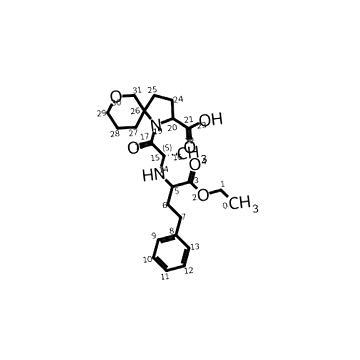 CCOC(=O)C(CCc1ccccc1)N[C@@H](C)C(=O)N1C(C(=O)O)CCC12CCCOC2